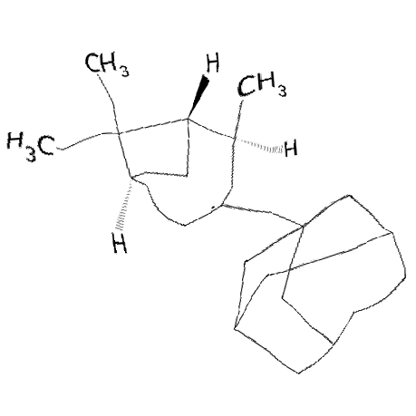 C[C@H]1[C](C23CC4CC(CC(C4)C2)C3)C[C@@H]2C[C@@H]1C2(C)C